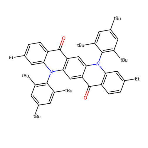 CCc1ccc2c(=O)c3cc4c(cc3n(-c3c(C(C)(C)C)cc(C(C)(C)C)cc3C(C)(C)C)c2c1)c(=O)c1ccc(CC)cc1n4-c1c(C(C)(C)C)cc(C(C)(C)C)cc1C(C)(C)C